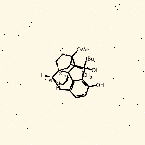 COC12CC[C@]3(CC1C(C)(O)C(C)(C)C)[C@H]1Cc4ccc(O)c5c4[C@@]3(CCN1)C2O5